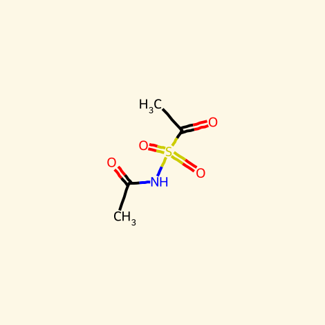 CC(=O)NS(=O)(=O)C(C)=O